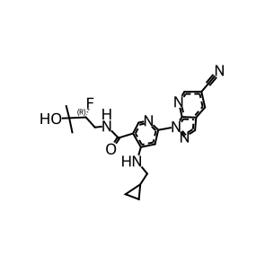 CC(C)(O)[C@H](F)CNC(=O)c1cnc(-n2ncc3cc(C#N)cnc32)cc1NCC1CC1